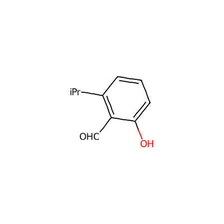 CC(C)c1cccc(O)c1C=O